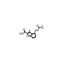 COC(=O)COc1cccc2oc(C(=O)O)c(C)c12